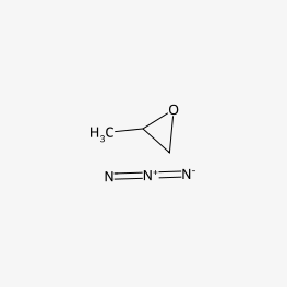 CC1CO1.[N-]=[N+]=[N-]